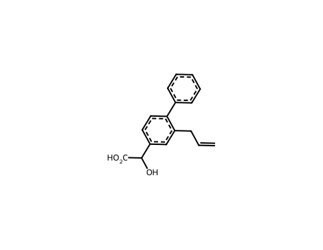 C=CCc1cc(C(O)C(=O)O)ccc1-c1ccccc1